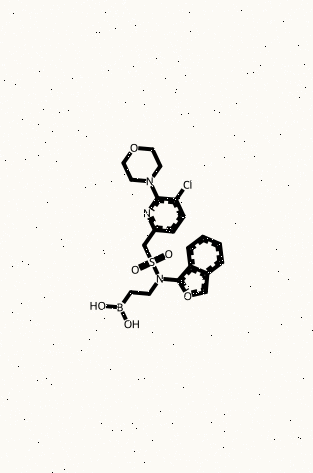 O=S(=O)(Cc1ccc(Cl)c(N2CCOCC2)n1)N(CCB(O)O)c1occ2ccccc12